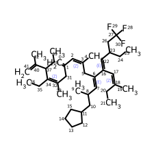 C=C(/C=C(/C)CC(=C\C(C)CC1CCCC1)/C(/C=C(/C)CC)=C/C(CC)CC(F)(F)F)C/C(C)=C(/CC)C(CC)C(=C)C